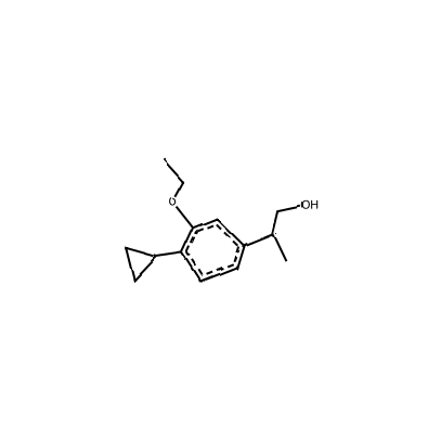 CCOc1cc([C](C)CO)ccc1C1CC1